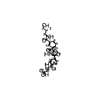 CCCCNC(=O)c1cccc(S(=O)(=O)NC(=O)c2ccc(C(=O)NCC(=O)O)nc2)c1